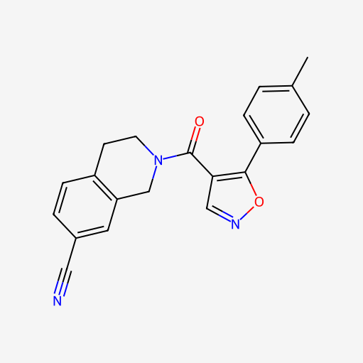 Cc1ccc(-c2oncc2C(=O)N2CCc3ccc(C#N)cc3C2)cc1